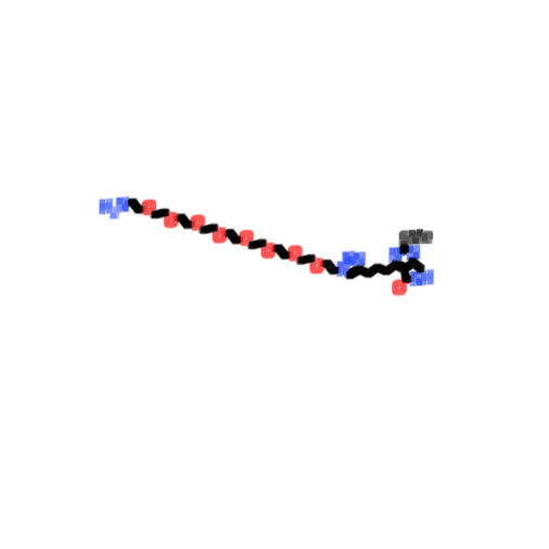 CSc1nc(CCCc2cn(CCOCCOCCOCCOCCOCCOCCOCCOCCN)nn2)c2c(n1)CNC2=O